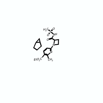 C1CC2CC2C1.CCOC(=O)c1ccc(N2CCC2C(=O)NS(C)(=O)=O)nc1C